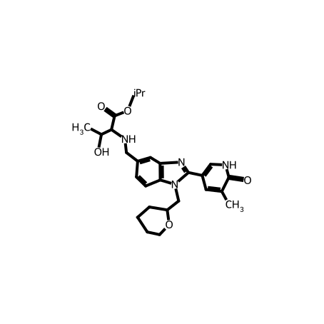 Cc1cc(-c2nc3cc(CNC(C(=O)OC(C)C)C(C)O)ccc3n2CC2CCCCO2)c[nH]c1=O